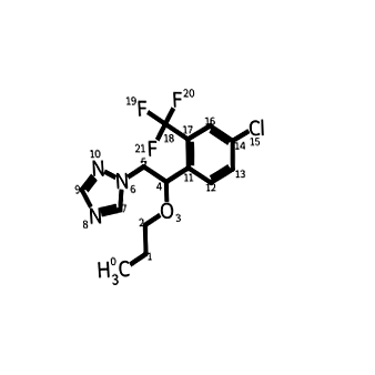 CCCOC([C]n1cncn1)c1ccc(Cl)cc1C(F)(F)F